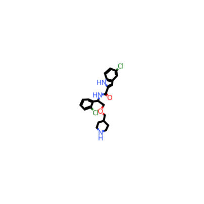 O=C(NC(COCC1CCNCC1)c1ccccc1Cl)c1cc2cc(Cl)ccc2[nH]1